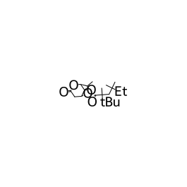 CCC(C)(C)CC(C)(C(=O)OC1C2CC(=O)OC1C(C)O2)C(C)(C)C